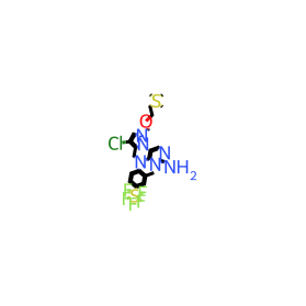 Cc1cc(S(F)(F)(F)(F)F)ccc1N(Cc1nn(COCCS(C)(C)C)cc1Cl)c1ccnc(N)n1